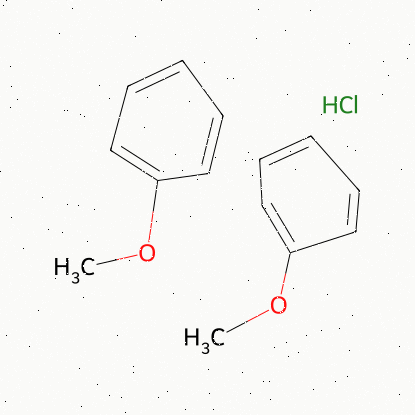 COc1ccccc1.COc1ccccc1.Cl